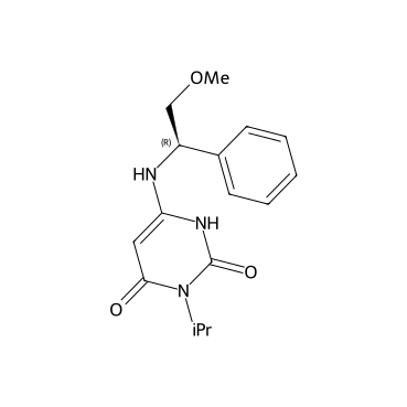 COC[C@H](Nc1cc(=O)n(C(C)C)c(=O)[nH]1)c1ccccc1